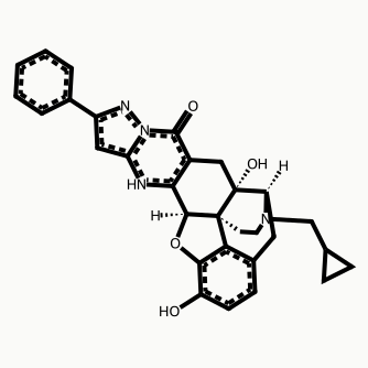 O=c1c2c([nH]c3cc(-c4ccccc4)nn13)[C@@H]1Oc3c(O)ccc4c3[C@@]13CCN(CC1CC1)[C@H](C4)[C@]3(O)C2